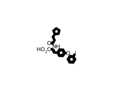 O=C(CCC1CCCC1)NC(=Cc1ccc(Oc2ccccc2I)cc1)C(=O)O